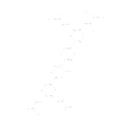 C=C(C)C(=O)Oc1ccc(-c2ccc(-c3ccc(-c4ccc(OC(=O)C(=C)C)c(OC(=O)C(=C)C)c4)c(F)c3F)cc2)cc1OC(=O)C(=C)C